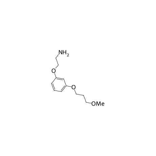 COCCCOc1cccc(OCCN)c1